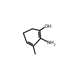 CC1=CCCC(O)=C1N